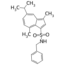 Cc1cc(S(=O)(=O)NCc2ccccc2)c2c(C)ccc(C(C)C)cc1-2